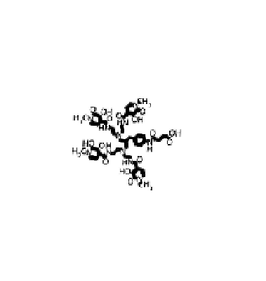 CN1C=CC(C(=O)NCCN(CCNC(=O)c2ccn(C)c(=O)c2O)CC(Cc2ccc(NC(=O)CCC(=O)O)cc2)CN(CCNC(=O)c2ccn(C)c(=O)c2O)CCNC(=O)c2ccn(C)c(=O)c2O)=C(O)C1O